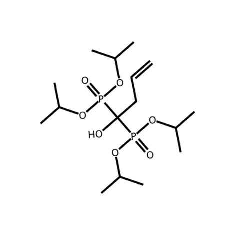 C=CCC(O)(P(=O)(OC(C)C)OC(C)C)P(=O)(OC(C)C)OC(C)C